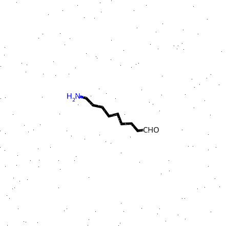 NCCCCCCCCC=O